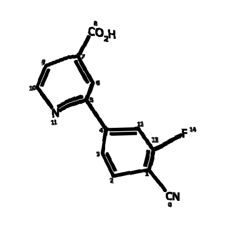 N#Cc1ccc(-c2cc(C(=O)O)ccn2)cc1F